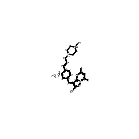 CCc1nn2c(C)cc(C)nc2c1Cc1ccc(C=CCN2CCN(C(C)C)CC2)cc1.Cl.Cl